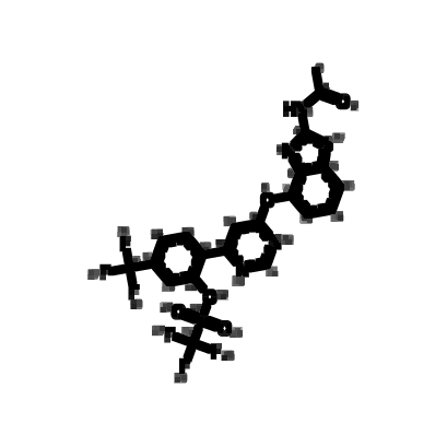 CC(=O)Nc1nc2c(Oc3cc(-c4ccc(C(F)(F)F)cc4OS(=O)(=O)C(F)(F)F)ncn3)cccc2s1